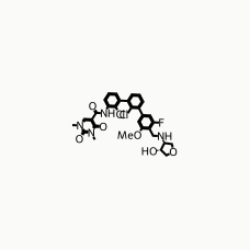 COc1cc(-c2cccc(-c3cccc(NC(=O)c4cn(C)c(=O)n(C)c4=O)c3Cl)c2Cl)cc(F)c1CN[C@H]1COC[C@@H]1O